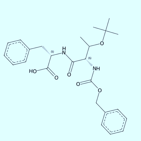 CC(OC(C)(C)C)[C@H](NC(=O)OCc1ccccc1)C(=O)N[C@@H](Cc1ccccc1)C(=O)O